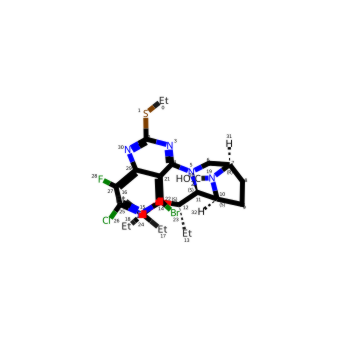 CCSc1nc(N2C[C@H]3CC[C@@H]([C@H]2[C@H](CC)O[Si](CC)(CC)CC)N3C(=O)O)c2c(Br)nc(Cl)c(F)c2n1